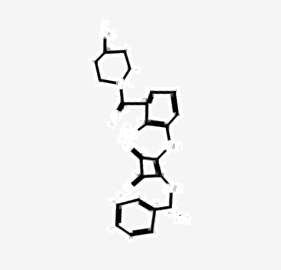 CC[C@@H](Nc1c(Nc2cccc(C(=O)N3CCC(O)CC3)c2O)c(=O)c1=O)c1ccccc1